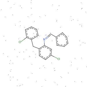 Clc1ccc(Cc2ccccc2Cl)c(/N=C\c2ccccc2)c1